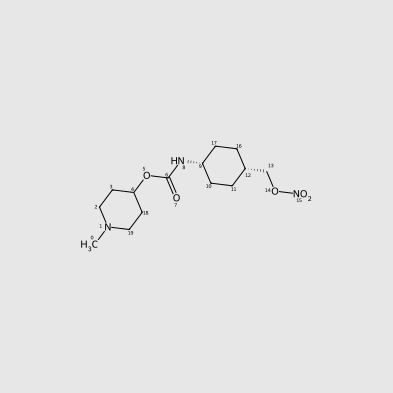 CN1CCC(OC(=O)N[C@H]2CC[C@@H](CO[N+](=O)[O-])CC2)CC1